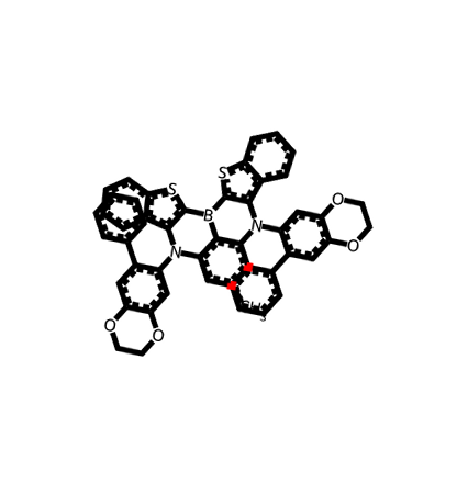 Cc1cc2c3c(c1)N(c1cc4c(cc1-c1ccccc1)OCCO4)c1c(sc4ccccc14)B3c1sc3ccccc3c1N2c1cc2c(cc1-c1ccccc1)OCCO2